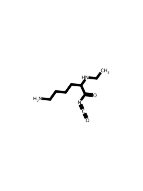 CCNC(CCCCN)C(=O)N=C=O